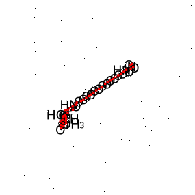 C[C@]12C[C@H](O)C3C(CCC4=CC(=O)C=C[C@@H]43)C1CC1O[C@@H](c3ccc(Cc4cccc(NC(=O)CCOCCOCCOCCOCCOCCOCCOCCOCCOCCOCCOCCOCCNC(=O)CCN5C(=O)C=CC5=O)c4)cc3)O[C@]12C(=O)CO